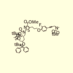 COC(=O)c1nc(N(CCCC(CO[Si](C)(C)C(C)(C)C)O[Si](c2ccccc2)(c2ccccc2)C(C)(C)C)C(=O)OC(C)(C)C)sc1CCCOc1ccc(C#CCN(C)C(=O)OC(C)(C)C)cc1F